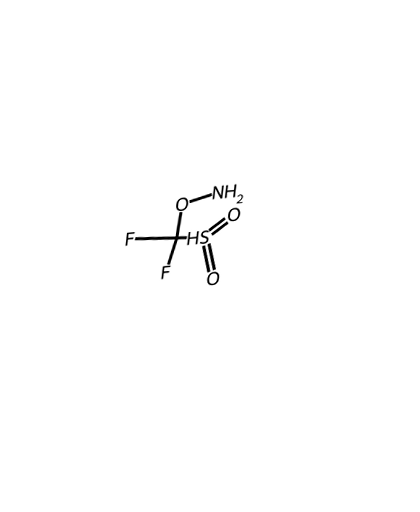 NOC(F)(F)[SH](=O)=O